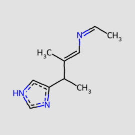 C/C=N\C=C(/C)C(C)c1c[nH]cn1